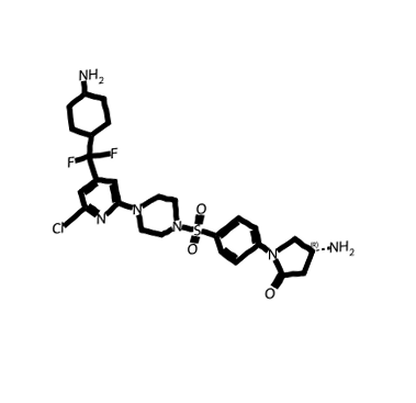 NC1CCC(C(F)(F)c2cc(Cl)nc(N3CCN(S(=O)(=O)c4ccc(N5C[C@H](N)CC5=O)cc4)CC3)c2)CC1